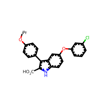 CC(C)Oc1ccc(-c2c(C(=O)O)[nH]c3ccc(Oc4cccc(Cl)c4)cc23)cc1